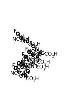 CC(C)(CCC(=O)O)C(=O)Nc1nc(-c2ccc(F)cc2)c(C#N)s1.CC(CC(=O)O)CC(=O)Nc1nc(-c2ccc(F)cc2)c(C#N)s1.N#Cc1sc(NC(=O)CCCC(=O)O)nc1-c1ccc(F)cc1.N#Cc1sc(NC(=O)[C@@H]2CC[C@@H](C(=O)O)C2)nc1-c1ccc(F)cc1.N#Cc1sc(NC(=O)[C@H]2CCCC[C@H]2C(=O)O)nc1-c1ccc(F)cc1.N#Cc1sc(NC(=O)[C@H]2CC[C@@H](C(=O)O)C2)nc1-c1ccc(F)cc1